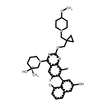 COC1CCN(CC2(COc3nc(N4CCC[C@@](C)(O)C4)c4cc(F)c(-c5cc(O)cc6cccc(Cl)c56)c(F)c4n3)CC2)CC1